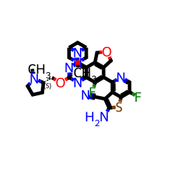 CN1CC2CC(C1)N2c1nc(OC[C@@H]2CCCN2C)nc2c(F)c(-c3ncc(F)c4sc(N)c(C#N)c34)c3c(c12)COC3